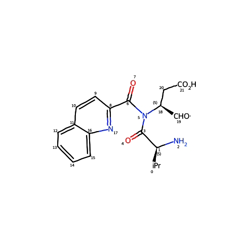 CC(C)[C@H](N)C(=O)N(C(=O)c1ccc2ccccc2n1)[C@H]([C]=O)CC(=O)O